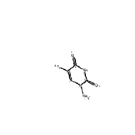 [CH2]n1cc(F)c(=O)[nH]c1=O